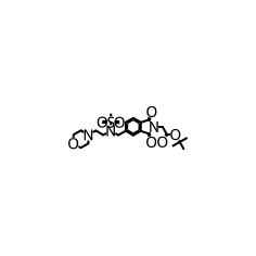 CC(C)(C)OC(=O)CN1C(=O)c2ccc(CN(CCN3CCOCC3)S(C)(=O)=O)cc2C1=O